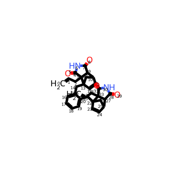 C=CCC12C(=O)NC(=O)C1C1C=CC2(Cc2ccccc2CC23C=CC(C2)C2C(=O)NC(=O)C23CC=C)C1